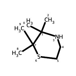 CC1(C)NCCSC1(C)C